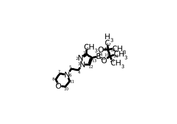 Cc1nn(CCN2CCOCC2)cc1B1OC(C)(C)C(C)(C)O1